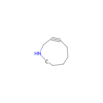 C1#CCNCCCCC1